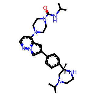 CC(C)NC(=O)N1CCN(c2ccnn3cc(-c4ccc([C@@]5(C)CN(C(C)C)CCN5)cc4)cc23)CC1